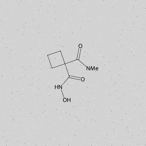 CNC(=O)C1(C(=O)NO)CCC1